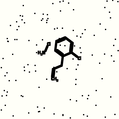 C=CCc1ccccc1Cl.[SiH3]Cl